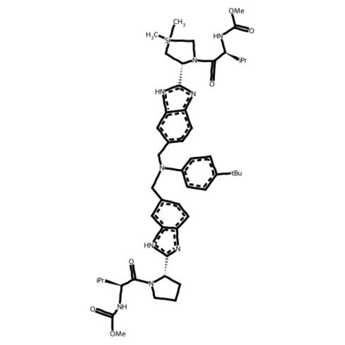 COC(=O)N[C@H](C(=O)N1CCC[C@H]1c1nc2ccc(CN(Cc3ccc4nc([C@@H]5C[Si](C)(C)CN5C(=O)[C@@H](NC(=O)OC)C(C)C)[nH]c4c3)c3ccc(C(C)(C)C)cc3)cc2[nH]1)C(C)C